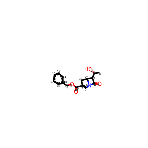 CC(O)C1C(=O)N2C=C(C(=O)OCc3ccccc3)CC12